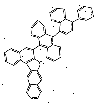 c1ccc(-c2ccc(-c3c4ccccc4c(-c4cc5ccccc5c5c4oc4cc6ccccc6cc45)c4ccccc34)c3ccccc23)cc1